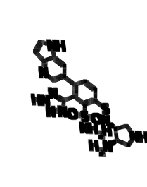 N[C@@H]1CNC[C@@H]1NSc1ccc(-c2cnc3cc[nH]c3c2)c(-c2nn[nH]n2)c1S(N)(=O)=O